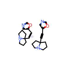 C(#CC12CCCN1CCC2)c1cnco1.C(=C/C12CCCN1CCC2)/c1cnco1